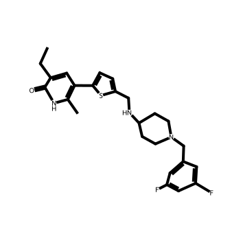 CCc1cc(-c2ccc(CNC3CCN(Cc4cc(F)cc(F)c4)CC3)s2)c(C)[nH]c1=O